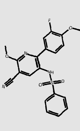 COc1ccc(-c2nc(OC)c(C#N)cc2NS(=O)(=O)c2ccccc2)cc1F